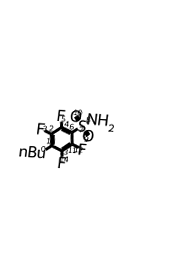 CCCCc1c(F)c(F)c(S(N)(=O)=O)c(F)c1F